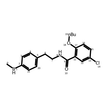 CBc1ccc(CCNC(=O)c2cc(Cl)ccc2OCCCC)cc1